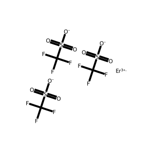 O=S(=O)([O-])C(F)(F)F.O=S(=O)([O-])C(F)(F)F.O=S(=O)([O-])C(F)(F)F.[Er+3]